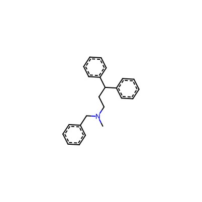 CN(CCC(c1ccccc1)c1ccccc1)Cc1ccccc1